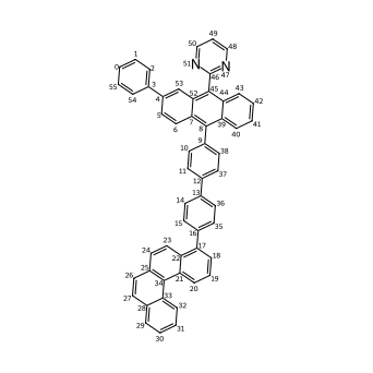 c1ccc(-c2ccc3c(-c4ccc(-c5ccc(-c6cccc7c6ccc6ccc8ccccc8c67)cc5)cc4)c4ccccc4c(-c4ncccn4)c3c2)cc1